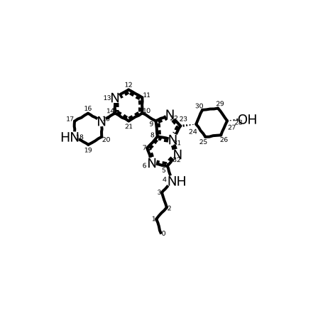 CCCCNc1ncc2c(-c3ccnc(N4CCNCC4)c3)nc([C@H]3CC[C@@H](O)CC3)n2n1